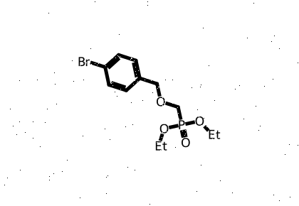 CCOP(=O)(COCc1ccc(Br)cc1)OCC